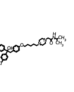 CC(C)NC(=O)CN1CCN(CCCCCOc2ccc(CC(O)(c3ccccc3)c3ccc(Cl)cc3)cc2)CC1